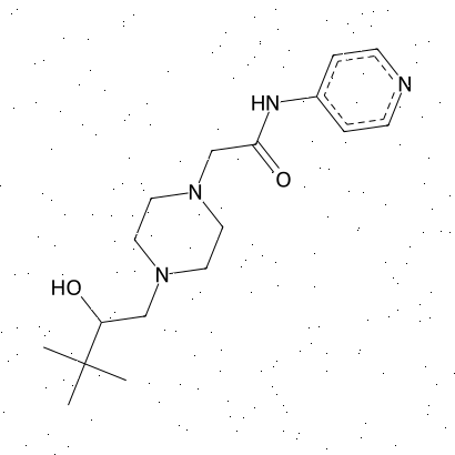 CC(C)(C)C(O)CN1CCN(CC(=O)Nc2ccncc2)CC1